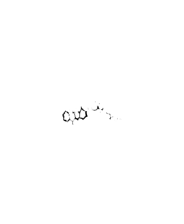 CCC(CC)(CCOC(CC)(CC)C(=O)COc1ccc2cc(C(=O)c3ccccc3)c(=O)oc2c1)OC